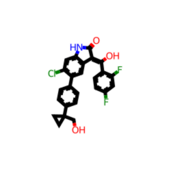 O=C1Nc2cc(Cl)c(-c3ccc(C4(CO)CC4)cc3)cc2/C1=C(/O)c1ccc(F)cc1F